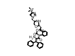 COC(=O)N(C(=O)[C@@H](N)C(c1ccccc1)c1ccccc1)c1ccccc1CC[C@@H]1CN[C@H](Cn2cc([Si](C)(C)C)nn2)CO1